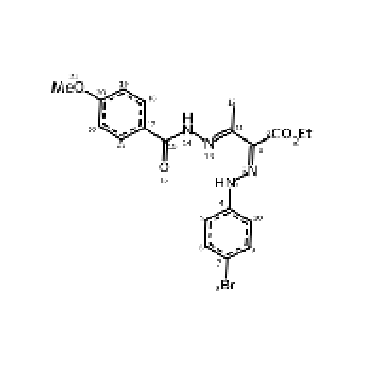 CCOC(=O)C(=NNc1ccc(Br)cc1)C(C)=NNC(=O)c1ccc(OC)cc1